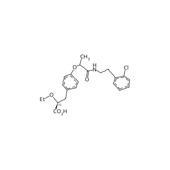 CCO[C@@H](Cc1ccc(OC(C)C(=O)NCCc2ccccc2Cl)cc1)C(=O)O